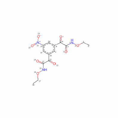 CCONC(=O)C(=O)c1cc(C(=O)C(=O)NOCC)cc([N+](=O)[O-])c1